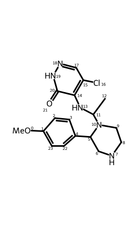 COc1ccc(C2CNCCN2C(C)Nc2c(Cl)cn[nH]c2=O)cc1